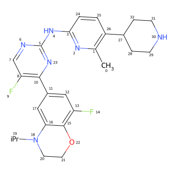 Cc1nc(Nc2ncc(F)c(-c3cc(F)c4c(c3)N(C(C)C)CCO4)n2)ccc1C1CCNCC1